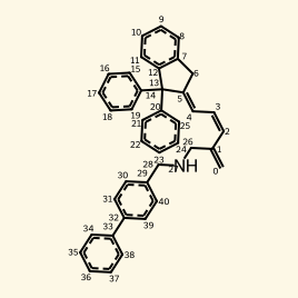 C=C(/C=C\C=C1/Cc2ccccc2C1(c1ccccc1)c1ccccc1)CNCc1ccc(-c2ccccc2)cc1